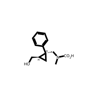 CN(C[C@]1(c2ccccc2)C[C@H]1CO)C(=O)O